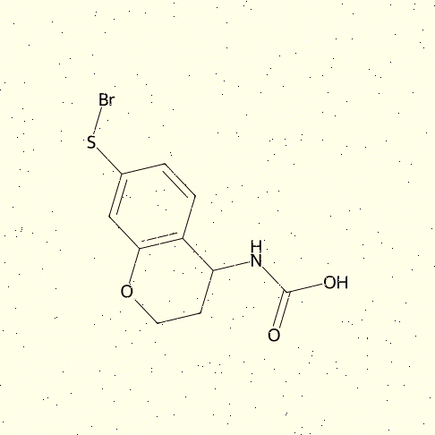 O=C(O)NC1CCOc2cc(SBr)ccc21